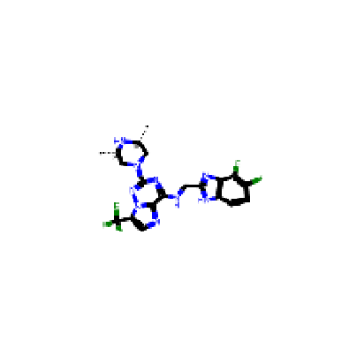 C[C@@H]1CN(c2nc(NCc3nc4c(F)c(F)ccc4[nH]3)c3ncc(C(F)(F)F)n3n2)C[C@H](C)N1